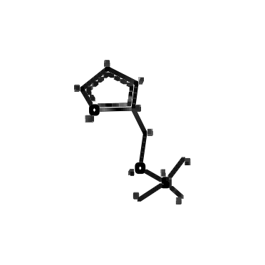 C[Si](C)(C)OCc1ccco1